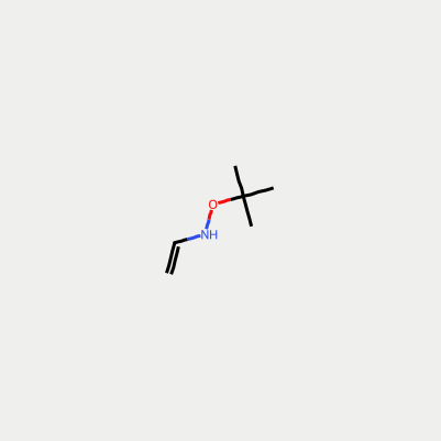 C=CNOC(C)(C)C